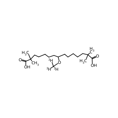 [2H]C([2H])([2H])OC(CCCCCC(C)(C)C(=O)O)CCCCCC(C)(C)C(=O)O